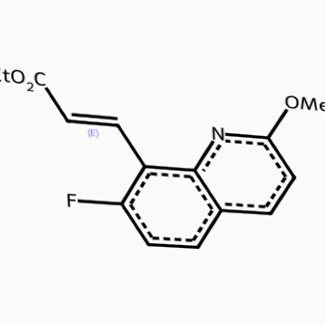 CCOC(=O)/C=C/c1c(F)ccc2ccc(OC)nc12